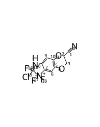 N#CC1COc2cc3c(cc2O1)NC(F)(Cl)[N+]3(F)F